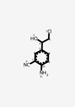 N#Cc1cc(C(O)CCl)ccc1N